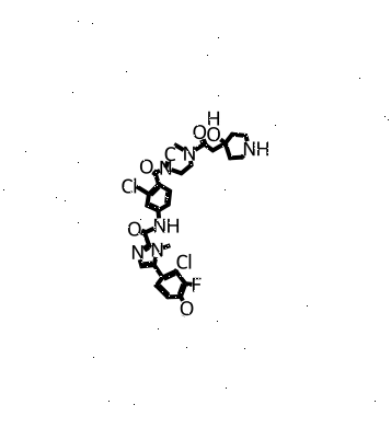 COc1ccc(-c2cnc(C(=O)Nc3ccc(C(=O)N4CCN(C(=O)CC5(O)CCNCC5)CC4)c(Cl)c3)n2C)c(Cl)c1F